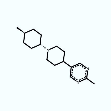 Cc1ncc(C2CCN([C@H]3CC[C@H](C)CC3)CC2)cn1